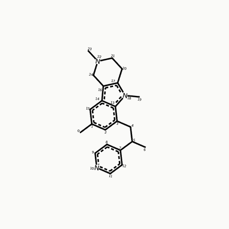 Cc1cc(CC(C)c2ccncc2)c2c(c1)c1c(n2C)CCN(C)C1